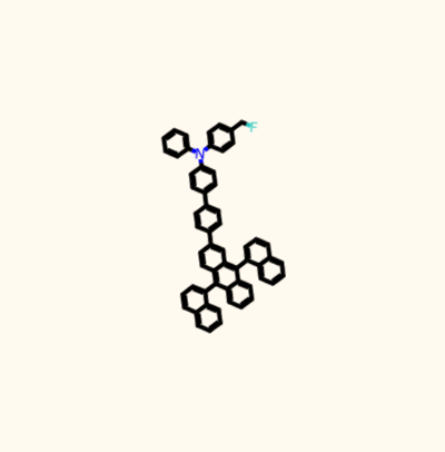 FCc1ccc(N(c2ccccc2)c2ccc(-c3ccc(-c4ccc5c(-c6cccc7ccccc67)c6ccccc6c(-c6cccc7ccccc67)c5c4)cc3)cc2)cc1